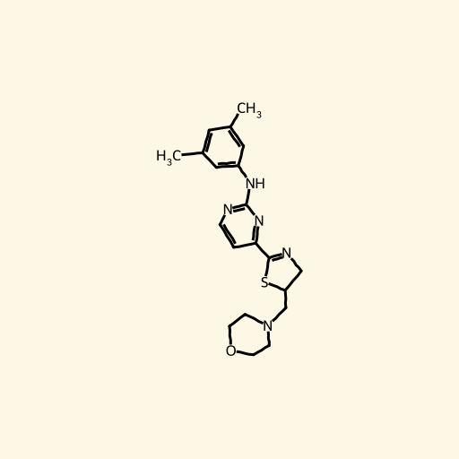 Cc1cc(C)cc(Nc2nccc(C3=NCC(CN4CCOCC4)S3)n2)c1